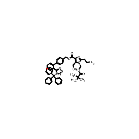 CCCc1nc(C(=O)OCc2ccc(-c3ccccc3-c3nnnn3C(c3ccccc3)(c3ccccc3)c3ccccc3)cc2)c(CO)n1COC(=O)C(C)(C)C